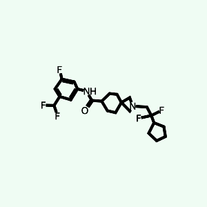 O=C(Nc1cc(F)cc(C(F)F)c1)C1CCC2(CC1)CN(CC(F)(F)C1CCCC1)C2